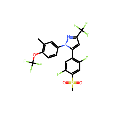 Cc1cc(-n2nc(C(F)(F)F)cc2-c2cc(F)c(S(C)(=O)=O)cc2F)ccc1OC(F)(F)F